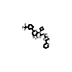 Nc1ccc(-c2cccc(C(F)(F)F)c2)nc1N(C(=O)Nc1nnc(-c2ccccn2)o1)C1CCC1